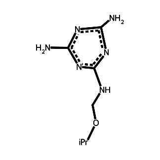 CC(C)OCNc1nc(N)nc(N)n1